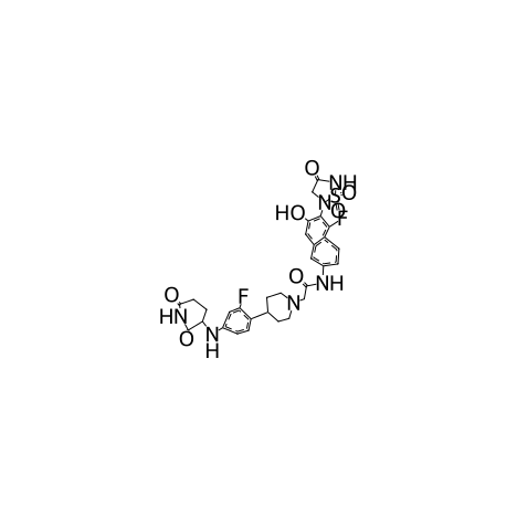 O=C1CCC(Nc2ccc(C3CCN(CC(=O)Nc4ccc5c(F)c(N6CC(=O)NS6(=O)=O)c(O)cc5c4)CC3)c(F)c2)C(=O)N1